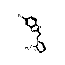 C[C@@H]1CCCN1CCc1nc2ccc(Br)cc2s1